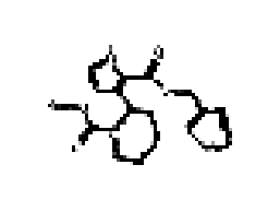 CC(C)(C)OC(=O)N1CCCCC1c1cc[nH]c1C(=O)OCc1ccccc1